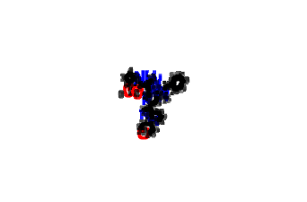 CO[C@H]1CC[C@@H]1NC(=O)c1cnn2c(N(C)Cc3ccccc3)cc(-c3cnc4n(C5CCOCC5)cccc3-4)nc12